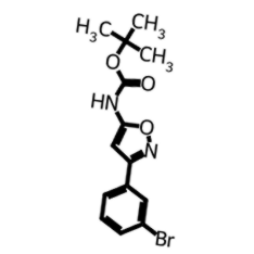 CC(C)(C)OC(=O)Nc1cc(-c2cccc(Br)c2)no1